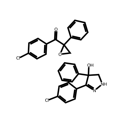 O=C(c1ccc(Cl)cc1)C1(c2ccccc2)CO1.OC1(c2ccccc2)CNN=C1c1ccc(Cl)cc1